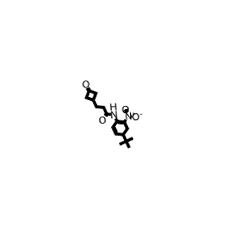 CC(C)(C)C1C=CC(NC(=O)CCC2CC(=O)C2)=C([N+](=O)[O-])C1